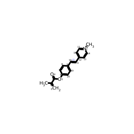 C=C(C)C(=O)Oc1ccc(/C=C/c2cc[n+](C)cc2)cc1